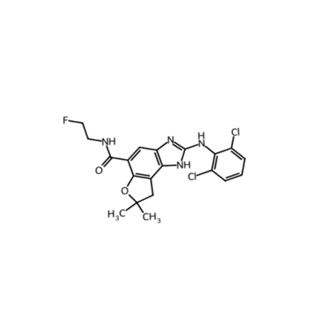 CC1(C)Cc2c(c(C(=O)NCCF)cc3nc(Nc4c(Cl)cccc4Cl)[nH]c23)O1